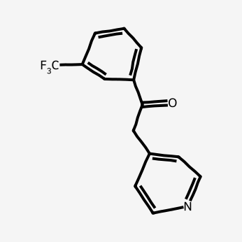 O=C(Cc1ccncc1)c1cccc(C(F)(F)F)c1